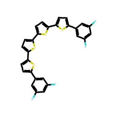 Fc1cc(F)cc(-c2ccc(-c3ccc(-c4ccc(-c5ccc(-c6cc(F)cc(F)c6)s5)s4)s3)s2)c1